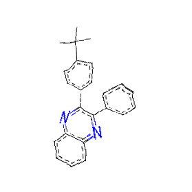 CC(C)(C)c1ccc(-c2nc3ccccc3nc2-c2ccccc2)cc1